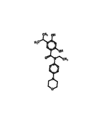 CCN(C(=O)c1cc(C(C)C)c(O)cc1O)c1ccc(N2CCOCC2)cc1